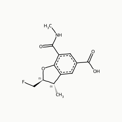 CNC(=O)c1cc(C(=O)O)cc2c1O[C@H](CF)[C@H]2C